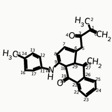 C=C(C)C(=O)CC1=CC=C(Nc2ccc(C)cc2)C2C(=O)c3ccccc3C(=C)C12